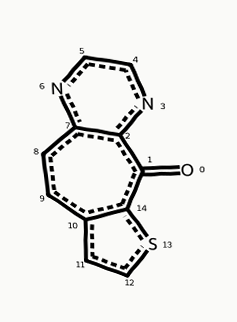 O=c1c2nccnc2ccc2ccsc12